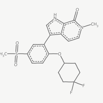 Cn1ccc2c(-c3cc(S(C)(=O)=O)ccc3OC3CCC(F)(F)CC3)c[nH]c2c1=O